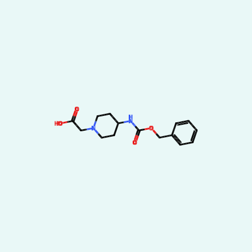 O=C(O)CN1CCC(NC(=O)OCc2ccccc2)CC1